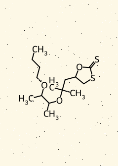 CCCCOC(C)C(C)OC(C)(C)CC1CSC(=S)O1